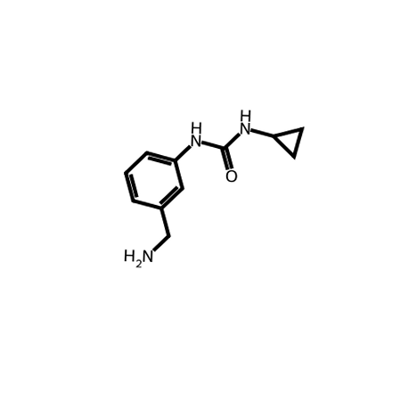 NCc1cccc(NC(=O)NC2CC2)c1